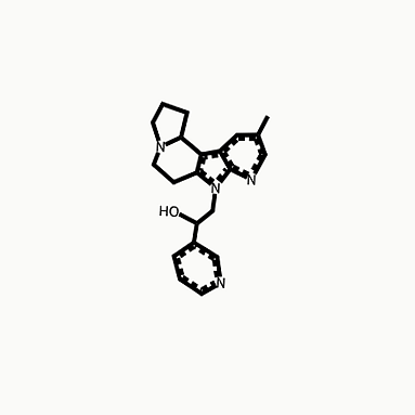 Cc1cnc2c(c1)c1c(n2CC(O)c2cccnc2)CCN2CCCC12